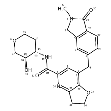 CN1Cc2cc(Cc3cc(C(=O)N[C@H]4CCOC[C@@H]4O)nc4c3OCC4)ccc2C1=O